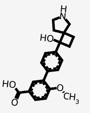 COc1ccc(C(=O)O)cc1-c1ccc(C2(O)CCC23CCNC3)cc1